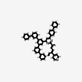 C=C/C(=C\C=C(/C)c1nc(-c2ccc(-c3ccccc3)cc2)cc(-c2cc(-c3cccc(-c4ccccc4)c3)cc(-c3cccc(-c4ccccc4)c3)c2)n1)c1ccncc1